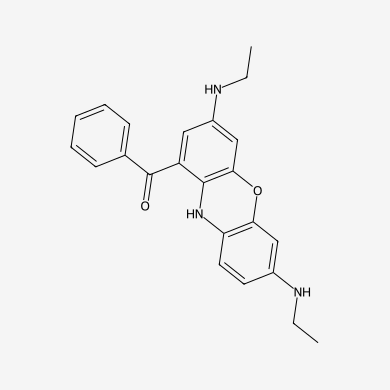 CCNc1ccc2c(c1)Oc1cc(NCC)cc(C(=O)c3ccccc3)c1N2